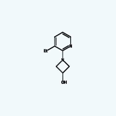 CCc1cccnc1N1CC(O)C1